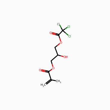 C=C(C)C(=O)OCC(O)COC(=O)C(Cl)(Cl)Cl